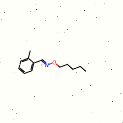 CCCCCO/N=[C]/c1ccccc1C